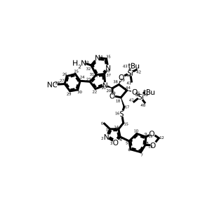 Cc1noc(-c2ccc3c(c2)OCO3)c1CSC[C@H]1O[C@@H](n2cc(-c3ccc(C#N)cc3)c3c(N)ncnc32)[C@H](O[Si](C)(C)C(C)(C)C)[C@@H]1O[Si](C)(C)C(C)(C)C